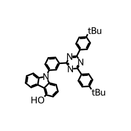 CC(C)(C)c1ccc(-c2nc(-c3ccc(C(C)(C)C)cc3)nc(-c3cccc(-n4c5ccccc5c5c(O)cccc54)c3)n2)cc1